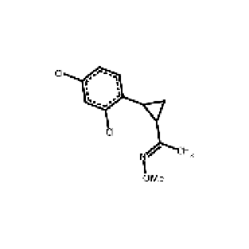 CON=C(C)C1CC1c1ccc(Cl)cc1Cl